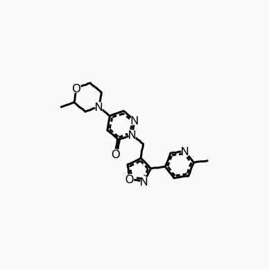 Cc1ccc(-c2nocc2Cn2ncc(N3CCOC(C)C3)cc2=O)cn1